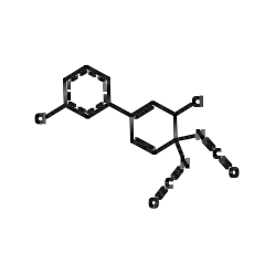 O=C=NC1(N=C=O)C=CC(c2cccc(Cl)c2)=CC1Cl